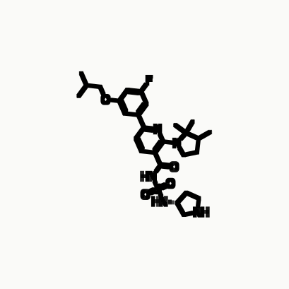 CC(C)COc1cc(F)cc(-c2ccc(C(=O)NS(=O)(=O)N[C@@H]3CCNC3)c(N3CCC(C)C3(C)C)n2)c1